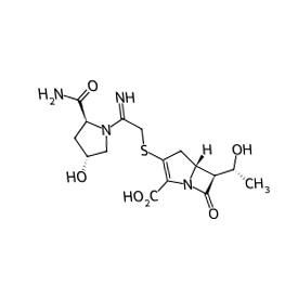 C[C@@H](O)[C@H]1C(=O)N2C(C(=O)O)=C(SCC(=N)N3C[C@H](O)C[C@H]3C(N)=O)C[C@H]12